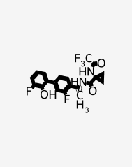 C[C@@H](NC(=O)C1(NC(=O)C(F)(F)F)CC1)c1ccc(-c2cccc(F)c2O)cc1F